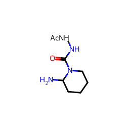 CC(=O)NNC(=O)N1CCCCC1N